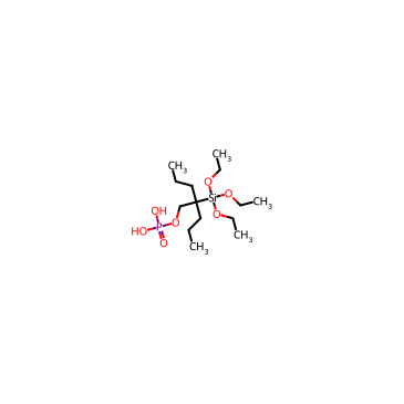 CCCC(CCC)(COP(=O)(O)O)[Si](OCC)(OCC)OCC